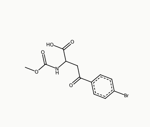 COC(=O)NC(CC(=O)c1ccc(Br)cc1)C(=O)O